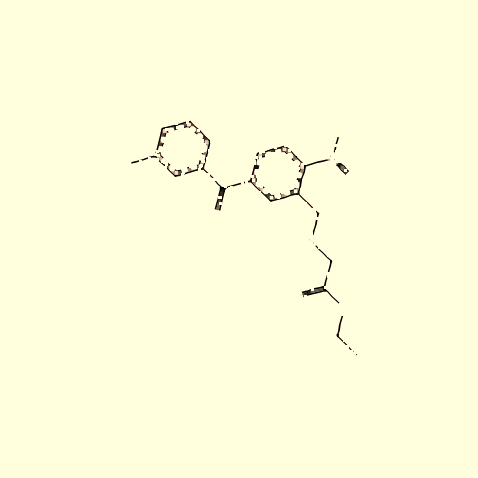 CCOC(=O)CNCc1cc(C(=O)c2cccc(Br)c2)ccc1[N+](=O)[O-]